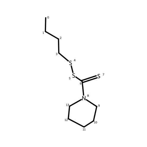 CCCCSSC(=S)N1CCCCC1